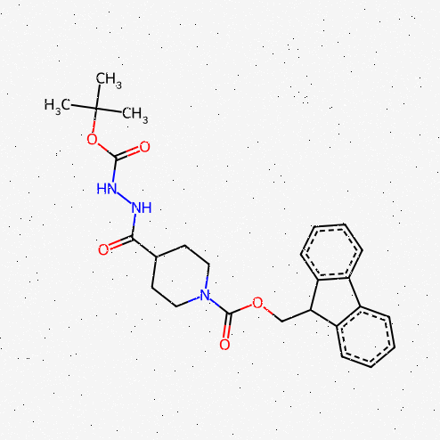 CC(C)(C)OC(=O)NNC(=O)C1CCN(C(=O)OCC2c3ccccc3-c3ccccc32)CC1